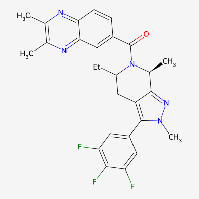 CCC1Cc2c(nn(C)c2-c2cc(F)c(F)c(F)c2)[C@H](C)N1C(=O)c1ccc2nc(C)c(C)nc2c1